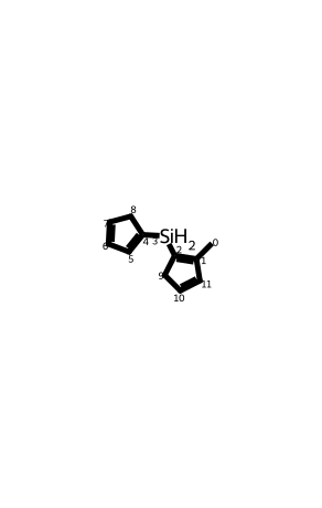 CC1=C([SiH2]C2=CC=CC2)CC=C1